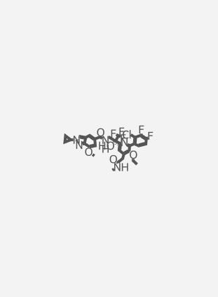 CCOc1c(CC(=O)NC)cc([C@@](O)(CNC(=O)c2cc(OC)c3nn(C4CC4)cc3c2)C(F)(F)F)nc1-c1ccc(F)c(F)c1Cl